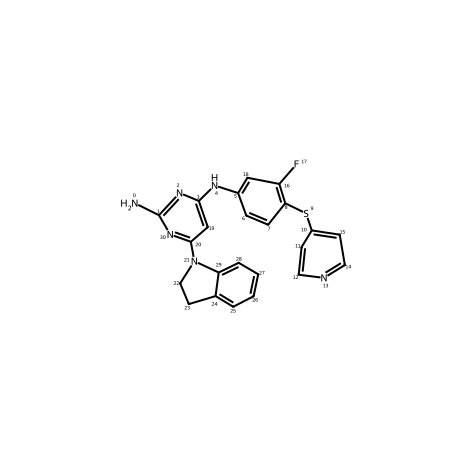 Nc1nc(Nc2ccc(Sc3ccncc3)c(F)c2)cc(N2CCc3ccccc32)n1